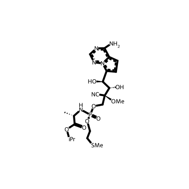 CO[C@](C#N)(COP(=O)(N[C@@H](C)C(=O)OC(C)C)OCCSC)[C@@H](O)[C@@H](O)c1ccc2c(N)ncnn12